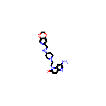 Nc1cnc2ccc(=O)n(CCN3CCC(NCc4cc5c(cn4)OCCO5)CC3)c2c1